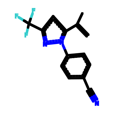 C=C(C)c1cc(C(F)(F)F)nn1-c1ccc(C#N)cc1